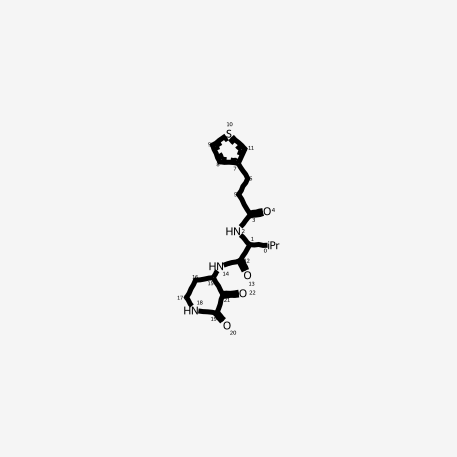 CC(C)C(NC(=O)CCc1ccsc1)C(=O)NC1CCNC(=O)C1=O